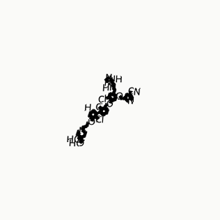 Cc1c(COc2cc(OCc3cncc(C#N)c3)c(CNCc3ncn[nH]3)cc2Cl)cccc1-c1cccc(OCCCN2CCC(O)(CO)CC2)c1Cl